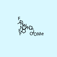 COC(=O)C[C@H]1CCN(c2nc(N3CC(F)C3C)nc3c2CCC3(F)F)C1